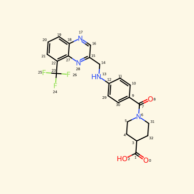 O=C(O)C1CCN(C(=O)c2ccc(NCc3cnc4cccc(C(F)(F)F)c4n3)cc2)CC1